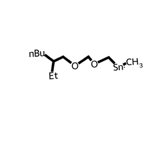 CCCCC(CC)COCO[CH2][Sn][CH3]